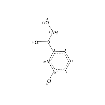 O=C(NO)c1cc[c]c(Cl)n1